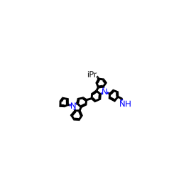 CC(C)c1ccc2c(c1)c1cc(-c3ccc4c(c3)c3ccccc3n4-c3ccccc3)ccc1n2-c1ccc(C=N)cc1